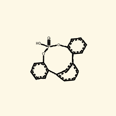 O=P1(O)Oc2ccccc2-c2cccc(c2)-c2ccccc2O1